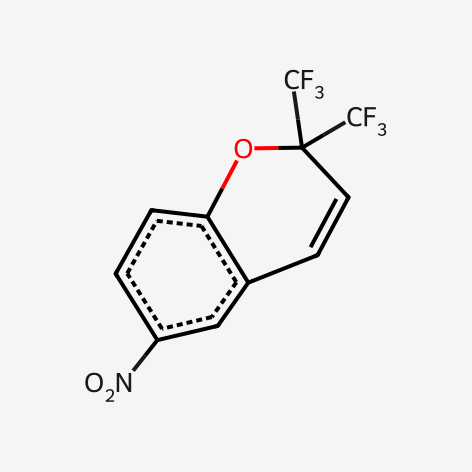 O=[N+]([O-])c1ccc2c(c1)C=CC(C(F)(F)F)(C(F)(F)F)O2